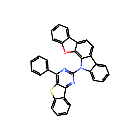 c1ccc(-c2nc(-n3c4ccccc4c4ccc5c6ccccc6oc5c43)nc3c2sc2ccccc23)cc1